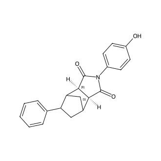 O=C1[C@@H]2C3CC(CC3c3ccccc3)[C@@H]2C(=O)N1c1ccc(O)cc1